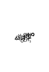 Cc1[nH]c(C(=O)NCC2CCCO2)c(C)c1-c1ccnc(Nc2ccccc2)n1